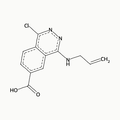 C=CCNc1nnc(Cl)c2ccc(C(=O)O)cc12